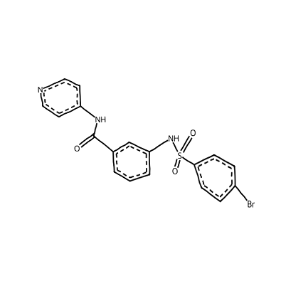 O=C(Nc1ccncc1)c1cccc(NS(=O)(=O)c2ccc(Br)cc2)c1